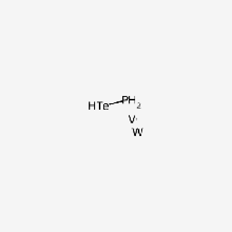 P[TeH].[V].[W]